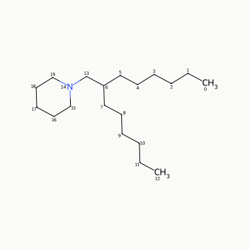 CCCCCCC(CCCCCC)CN1CCCCC1